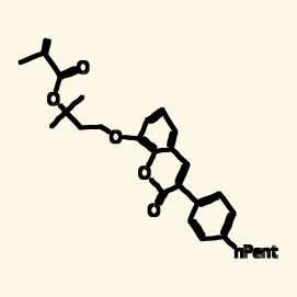 C=C(C)C(=O)OC(C)(C)CCOc1cccc2cc(-c3ccc(CCCCC)cc3)c(=O)oc12